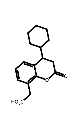 O=C(O)Cc1cccc2c1OC(=O)CC2C1CCCCC1